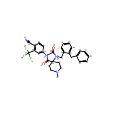 CN1CCC2(CC1)C(=O)N(c1ccc(C#N)c(C(F)(F)F)c1)C(=O)N2Cc1ccccc1Cc1ccccc1